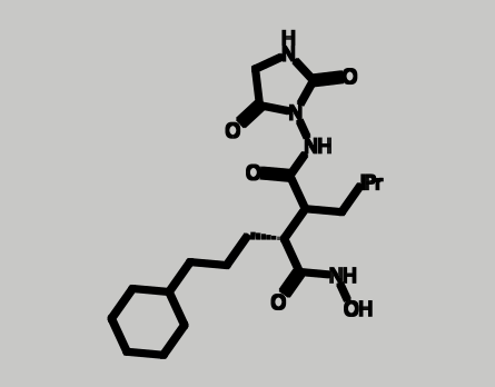 CC(C)CC(C(=O)NN1C(=O)CNC1=O)[C@@H](CCCC1CCCCC1)C(=O)NO